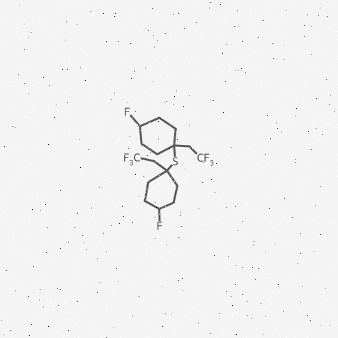 FC1CCC(CC(F)(F)F)(SC2(CC(F)(F)F)CCC(F)CC2)CC1